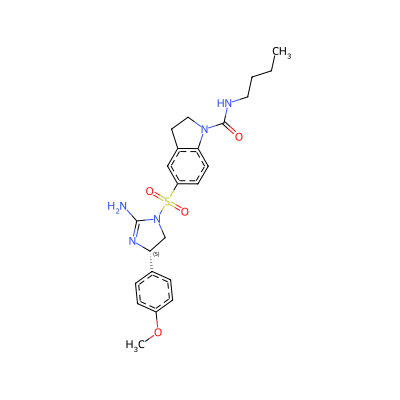 CCCCNC(=O)N1CCc2cc(S(=O)(=O)N3C[C@H](c4ccc(OC)cc4)N=C3N)ccc21